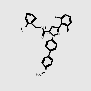 Cc1ccccc1CNC(=O)[C@H]1CC(c2c(F)cccc2F)=N[C@H]1c1ccc(-c2ccc(OC(F)(F)F)cc2)cc1